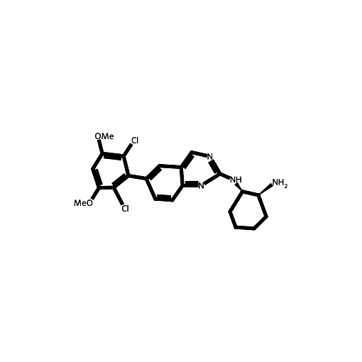 COc1cc(OC)c(Cl)c(-c2ccc3nc(N[C@@H]4CCCC[C@@H]4N)ncc3c2)c1Cl